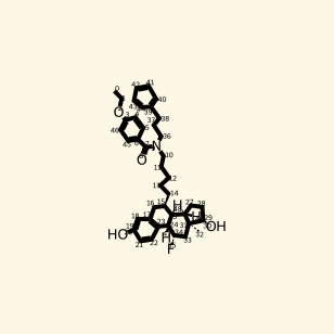 CCOc1ccc(C(=O)N(CCCCC[C@@H]2Cc3cc(O)ccc3[C@@H]3[C@@H]2[C@@H]2CC[C@H](O)[C@@]2(C)C[C@@H]3F)CCCc2ccccc2)cc1